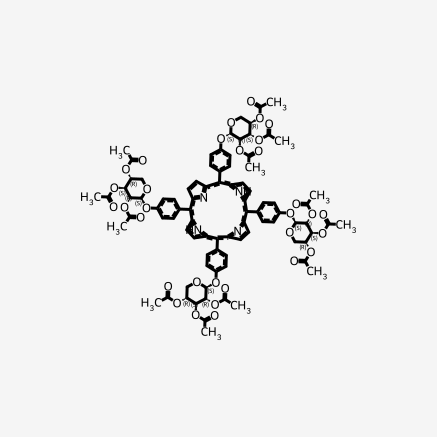 CC(=O)O[C@@H]1[C@@H](OC(C)=O)[C@H](Oc2ccc(-c3c4nc(c(-c5ccc(O[C@@H]6OC[C@@H](OC(C)=O)[C@H](OC(C)=O)[C@H]6OC(C)=O)cc5)c5ccc([nH]5)c(-c5ccc(O[C@@H]6OC[C@@H](OC(C)=O)[C@H](OC(C)=O)[C@H]6OC(C)=O)cc5)c5nc(c(-c6ccc(O[C@@H]7OC[C@@H](OC(C)=O)[C@H](OC(C)=O)[C@H]7OC(C)=O)cc6)c6ccc3[nH]6)C=C5)C=C4)cc2)OC[C@H]1OC(C)=O